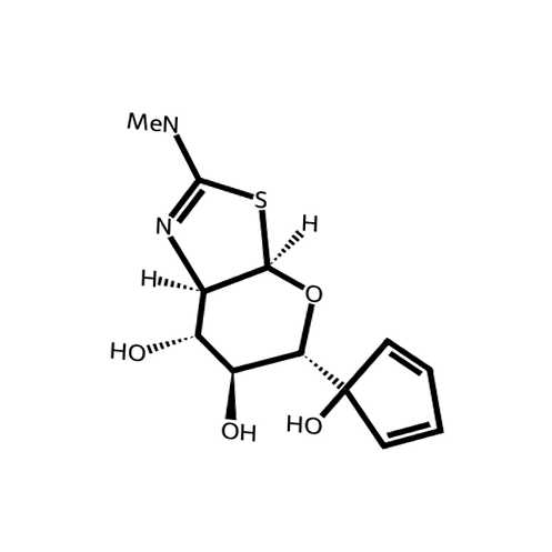 CNC1=N[C@@H]2[C@@H](O)[C@H](O)[C@@H](C3(O)C=CC=C3)O[C@@H]2S1